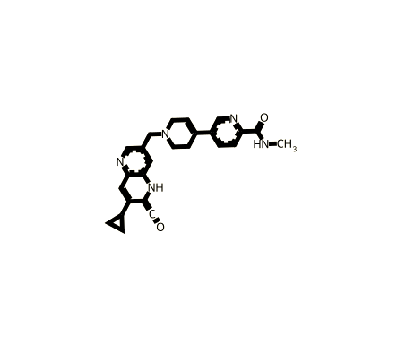 CNC(=O)c1ccc(C2=CCN(Cc3cnc4c(c3)NC(=C=O)C(C3CC3)=C4)CC2)cn1